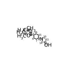 CC1(C)OB(c2ccc(N3CCC(O)C3)cc2)OC1(C)C